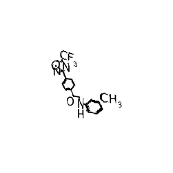 Cc1cccc(NCC(=O)c2ccc(-c3noc(C(F)(F)F)n3)cc2)c1